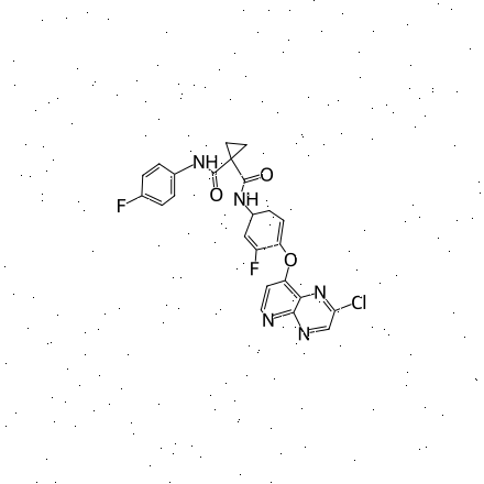 O=C(Nc1ccc(F)cc1)C1(C(=O)NC2C=C(F)C(Oc3ccnc4ncc(Cl)nc34)=CC2)CC1